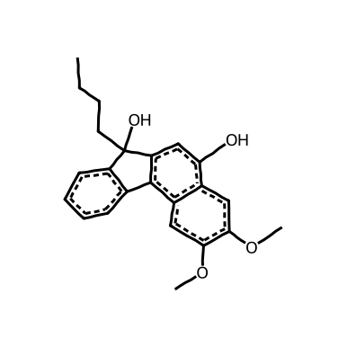 CCCCC1(O)c2ccccc2-c2c1cc(O)c1cc(OC)c(OC)cc21